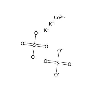 O=S(=O)([O-])[O-].O=S(=O)([O-])[O-].[Co+2].[K+].[K+]